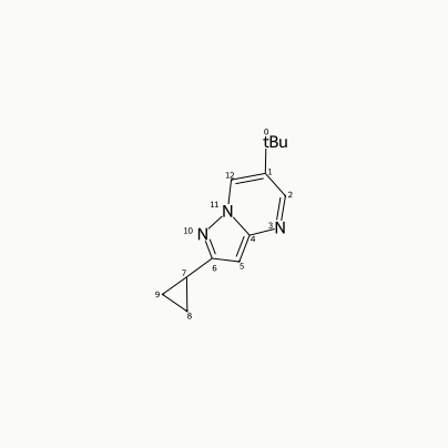 CC(C)(C)c1cnc2cc(C3CC3)nn2c1